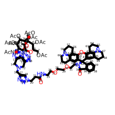 CC(=O)NC1[C@@H](OC(C)=O)[C@H](OC(C)=O)C(COC(C)=O)O[C@@H]1n1cc(CN(Cc2cn(CCC(=O)NCCOCCOCCN3C(=O)c4ccccc4C34c3cc5c6c(c3Oc3c4cc4c7c3CCCN7CCC4)CCCN6CCC5)nn2)Cc2cn([C@H]3OC(COC(C)=O)[C@H](OC(C)=O)[C@@H](OC(C)=O)C3NC(C)=O)nn2)nn1